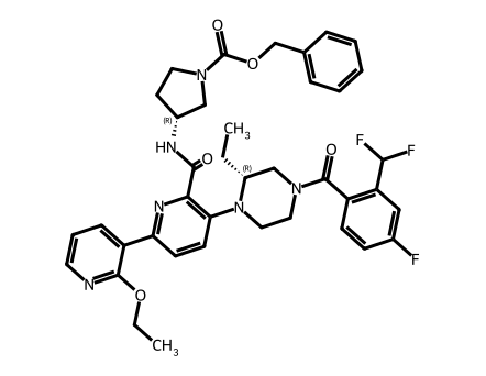 CCOc1ncccc1-c1ccc(N2CCN(C(=O)c3ccc(F)cc3C(F)F)C[C@H]2CC)c(C(=O)N[C@@H]2CCN(C(=O)OCc3ccccc3)C2)n1